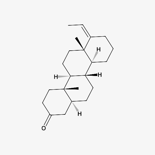 C/C=C1/CCC[C@H]2[C@@H]3CC[C@H]4CC(=O)CC[C@]4(C)[C@H]3CC[C@]12C